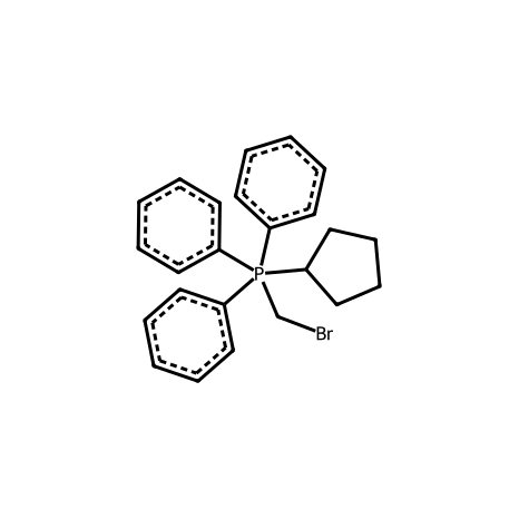 BrCP(c1ccccc1)(c1ccccc1)(c1ccccc1)C1CCCC1